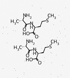 CSCC[C@H](NC(=O)[C@H](C)N)C(=O)O.CSCC[C@H](NC(=O)[C@H](C)N)C(=O)O